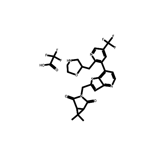 CC1(C)C2C(=O)N(Cc3cc4nccc(-c5cc(C(F)(F)F)cnc5CC5CNCCO5)c4s3)C(=O)C21.O=C(O)C(F)(F)F